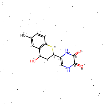 N#Cc1ccc2c(c1)C(O)CC(c1c[nH]c(=O)c(=O)[nH]1)S2